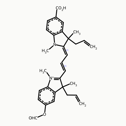 C=CCC1(C)C(/C=C/C=C2\N(C)c3ccc(C(=O)O)cc3C2(C)CC=C)=[N+](C)c2ccc(OC=O)cc21